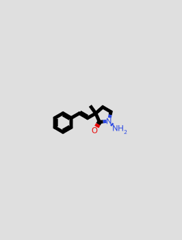 CC1(/C=C/c2ccccc2)CCN(N)C1=O